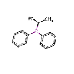 CC(C)[C@@H](C)P(c1ccccc1)c1ccccc1